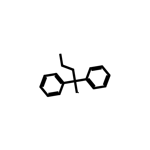 [CH2]C(CCC)(c1ccccc1)c1ccccc1